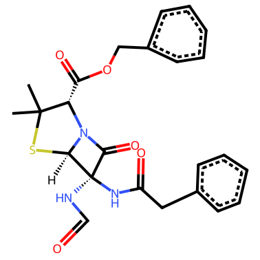 CC1(C)S[C@H]2N(C(=O)[C@@]2(NC=O)NC(=O)Cc2ccccc2)[C@H]1C(=O)OCc1ccccc1